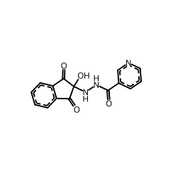 O=C(NNC1(O)C(=O)c2ccccc2C1=O)c1cccnc1